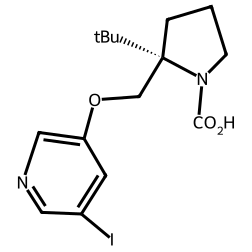 CC(C)(C)[C@]1(COc2cncc(I)c2)CCCN1C(=O)O